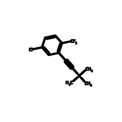 C[Si](C)(C)C#Cc1cc(Cl)ccc1C(F)(F)F